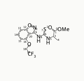 COC(=O)C(C)NC(=S)Nc1noc2cccc(OCC(F)(F)F)c12